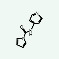 O=C(Nc1ccncc1)n1cccc1